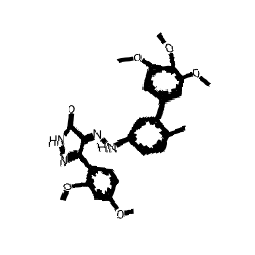 COc1ccc(C2=NNC(=O)/C2=N/Nc2ccc(C)c(-c3cc(OC)c(OC)c(OC)c3)c2)c(OC)c1